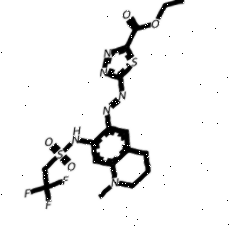 CCOC(=O)c1nnc(N=Nc2cc3c(cc2NS(=O)(=O)CC(F)(F)F)N(C)CCC3)s1